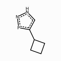 c1[nH]npc1C1CCC1